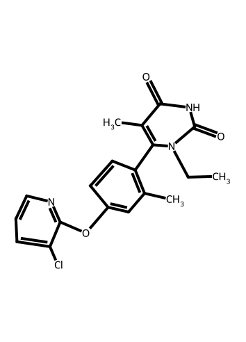 CCn1c(-c2ccc(Oc3ncccc3Cl)cc2C)c(C)c(=O)[nH]c1=O